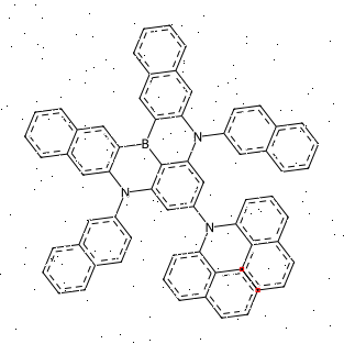 c1ccc2cc(N3c4cc5ccccc5cc4B4c5cc6ccccc6cc5N(c5ccc6ccccc6c5)c5cc(N(c6cccc7ccccc67)c6cccc7ccccc67)cc3c54)ccc2c1